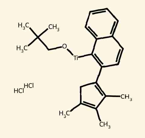 CC1=C(C)C(C)=C(c2ccc3ccccc3[c]2[Ti][O]CC(C)(C)C)C1.Cl.Cl